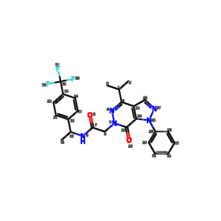 CC(C)c1nn(CC(=O)NC(C)c2ccc(C(F)(F)F)cc2)c(=O)c2c1cnn2-c1ccccc1